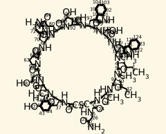 CCCC[C@H]1C(=O)N(C)[C@@H](CCCC)C(=O)N[C@@H](C)C(=O)N[C@H](C(=O)NCC(N)=O)CSCC(=O)N[C@@H](Cc2ccc(O)cc2)C(=O)N(C)[C@@H](C)C(=O)N[C@@H](CC(=O)O)C(=O)N2CCC[C@H]2C(=O)N[C@@H](Cc2cnc[nH]2)C(=O)N[C@@H](CCC(N)=O)C(=O)N2C[C@H](O)C[C@H]2C(=O)N[C@@H](Cc2c[nH]c3ccccc23)C(=O)N[C@@H](CO)C(=O)N[C@@H](Cc2c[nH]c3ccccc23)C(=O)N1C